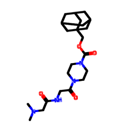 CN(C)CC(=O)NCC(=O)N1CCN(C(=O)OCC23CC4CC(CC(C4)C2)C3)CC1